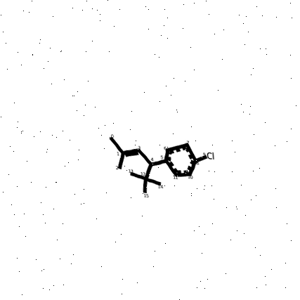 CC(C)=CC(c1ccc(Cl)cc1)C(C)(C)C